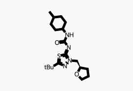 CC1CCC(NC(=O)/N=c2\sc(C(C)(C)C)nn2C[C@H]2CCCO2)CC1